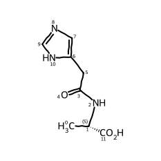 C[C@H](NC(=O)Cc1cnc[nH]1)C(=O)O